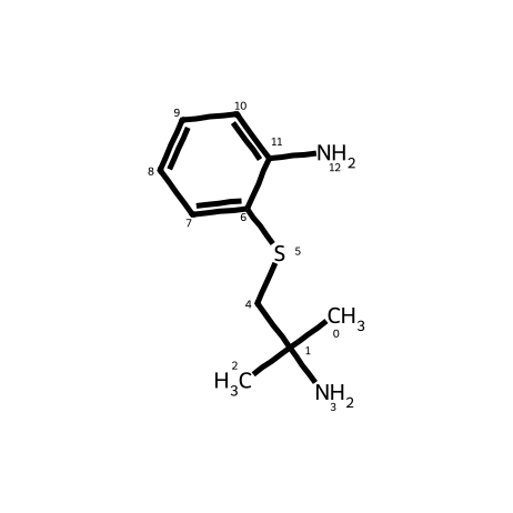 CC(C)(N)CSc1ccccc1N